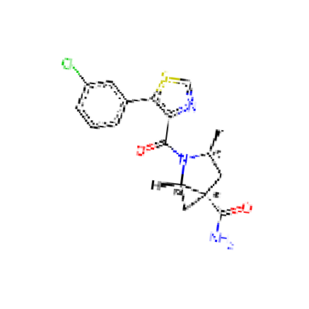 [CH2][C@H]1C[C@@]2(C(N)=O)C[C@@H]2N1C(=O)c1ncsc1-c1cccc(Cl)c1